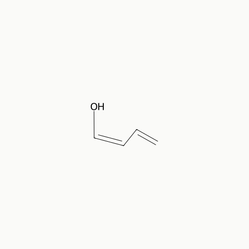 C=C/C=C\O